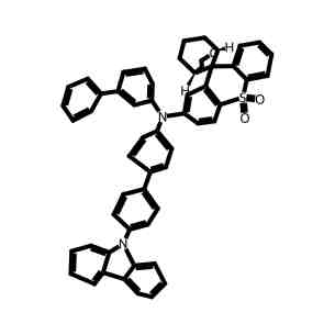 O=S1(=O)c2ccccc2C2(c3cc(N(c4ccc(-c5ccc(-n6c7ccccc7c7ccccc76)cc5)cc4)c4cccc(-c5ccccc5)c4)ccc31)[C@H]1CCC[C@@H]2CCC1